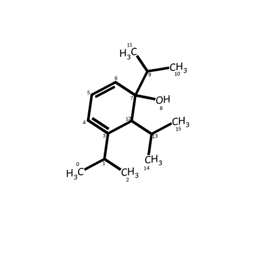 CC(C)C1=CC=CC(O)(C(C)C)C1C(C)C